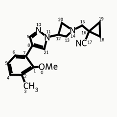 COc1c(C)cccc1-c1cnn(C2CN(CC3(C#N)CC3)C2)c1